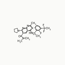 Cc1nc(N[C@H](C)c2cccc(C(C)(F)F)c2F)c2cc(C(=O)N(C)C)c(N3CCCC3)nc2n1